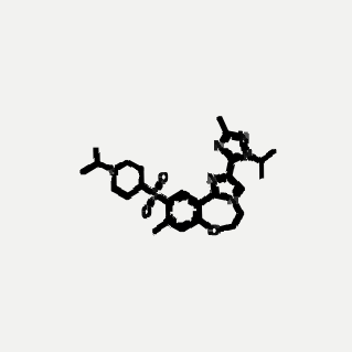 Cc1nc(-c2cn3c(n2)-c2cc(S(=O)(=O)C4CCN(C(C)C)CC4)c(C)cc2OCC3)n(C(C)C)n1